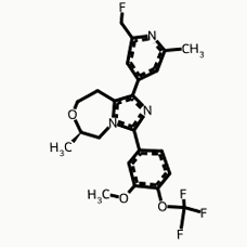 COc1cc(-c2nc(-c3cc(C)nc(CF)c3)c3n2C[C@@H](C)OCC3)ccc1OC(F)(F)F